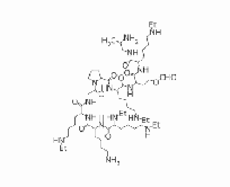 C=C(N)CNC(=O)C(CCCCNCC)NC(=O)C(CCOC=O)NC(=O)C(CCCCNCC)NC(=O)C1CCCN1C(=O)CNC(=O)C(CCCCNCC)NC(=O)C(CCCCN)NC(=O)C(CCCCNCC)NCC